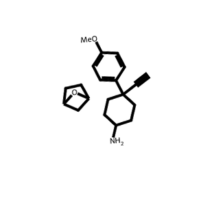 C#CC1(c2ccc(OC)cc2)CCC(N)CC1.C1CC2CC1O2